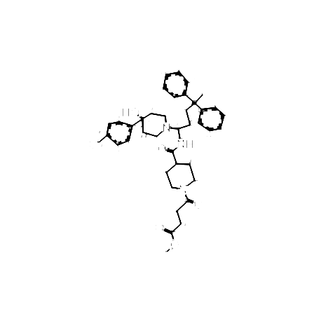 COC(=O)CCC(=O)N1CCC(C(=O)NC(CCC(C)(c2ccccc2)c2ccccc2)N2CCC(O)(c3ccc(Cl)cc3)CC2)CC1